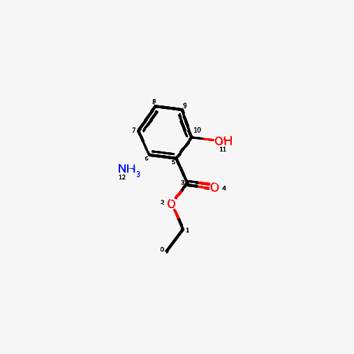 CCOC(=O)c1ccccc1O.N